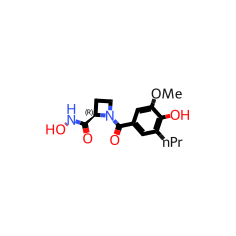 CCCc1cc(C(=O)N2CC[C@@H]2C(=O)NO)cc(OC)c1O